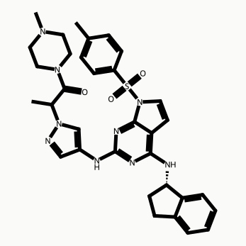 Cc1ccc(S(=O)(=O)n2ccc3c(N[C@H]4CCc5ccccc54)nc(Nc4cnn(C(C)C(=O)N5CCN(C)CC5)c4)nc32)cc1